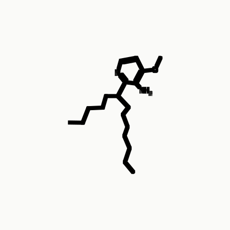 CCCCCCCC(CCCCC)c1nccc(OC)c1N